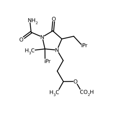 CC(C)CC1C(=O)N(C(N)=O)C(C)(C(C)C)N1CCC(C)OC(=O)O